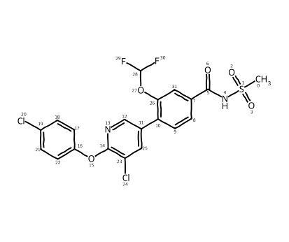 CS(=O)(=O)NC(=O)c1ccc(-c2cnc(Oc3ccc(Cl)cc3)c(Cl)c2)c(OC(F)F)c1